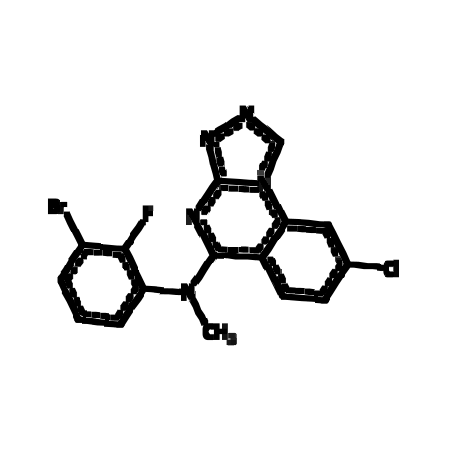 CN(c1cccc(Br)c1F)c1nc2nncn2c2cc(Cl)ccc12